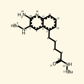 CCCCNc1cc2c(CCCCC(=O)NC(C)(C)C)cccc2nc1N